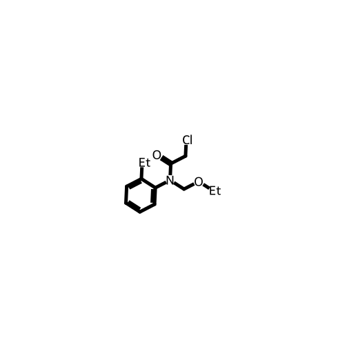 CCOCN(C(=O)CCl)c1ccccc1CC